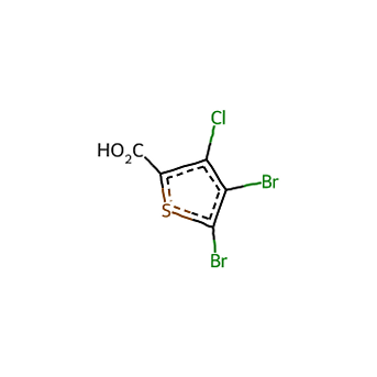 O=C(O)c1sc(Br)c(Br)c1Cl